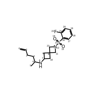 C=CCCC(C)NC1CC2(C1)CN(S(=O)(=O)c1ccccc1F)C2